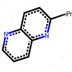 CC(C)c1ccc2ncccc2n1